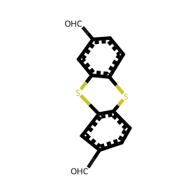 O=Cc1ccc2c(c1)Sc1cc(C=O)ccc1S2